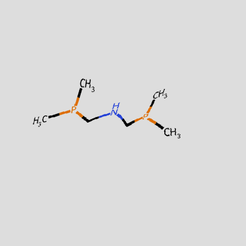 CP(C)CNCP(C)C